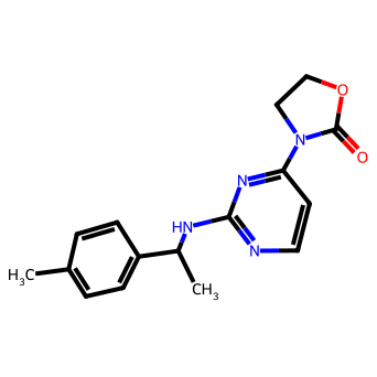 Cc1ccc(C(C)Nc2nccc(N3CCOC3=O)n2)cc1